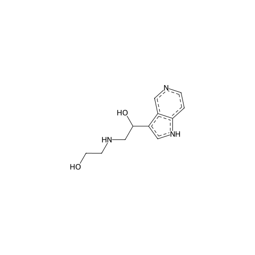 OCCNCC(O)c1c[nH]c2ccncc12